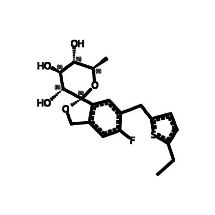 CCc1ccc(Cc2cc3c(cc2F)CO[C@]32O[C@H](C)[C@@H](O)[C@H](O)[C@H]2O)s1